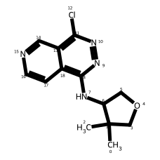 CC1(C)COCC1Nc1nnc(Cl)c2cnccc12